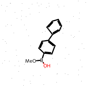 COB(O)c1ccc(-c2ccccc2)cc1